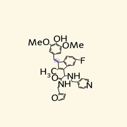 COc1cc(/C=C2/C(C)=C(C(NCc3ccncc3)C(=O)NCc3ccco3)c3cc(F)ccc32)cc(OC)c1O